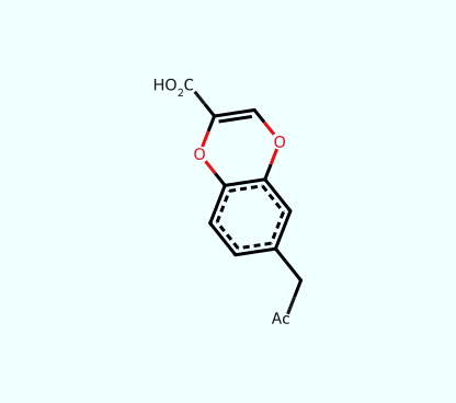 CC(=O)Cc1ccc2c(c1)OC=C(C(=O)O)O2